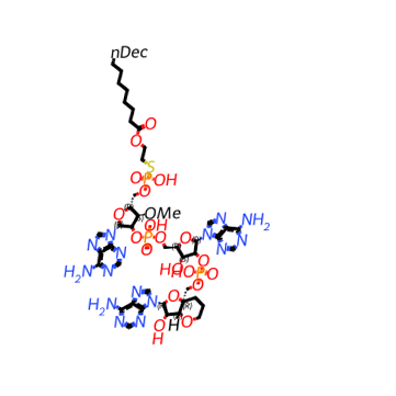 CCCCCCCCCCCCCCCCCC(=O)OCCSP(=O)(O)OC[C@H]1O[C@@H](n2cnc3c(N)ncnc32)C(OP(=O)(O)OC[C@H]2O[C@@H](n3cnc4c(N)ncnc43)C(OP(=O)(O)OC[C@]34CCCO[C@@H]3C(O)[C@H](n3cnc5c(N)ncnc53)O4)[C@H]2O)[C@H]1OC